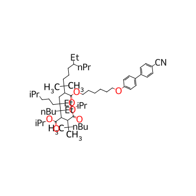 CCCCC(C)(C)C(C(=O)OC(C)C)C(C(=O)OC(C)C)C(CC)(CCCC)C(CC)(CCCC(C)C)CC(C(=O)OCCCCCCOc1ccc(-c2ccc(C#N)cc2)cc1)C(C)(C)CCCC(CC)CCC